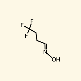 O/N=C/CCC(F)(F)F